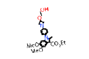 CCOC(=O)c1c(C)n(-c2ccc(N3CC(OCCO)C3)cc2)c2cc(OC)c(OC)cc12